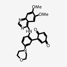 COc1cc2ncnc(Nc3ccc(N4CCOCC4)cc3C3=CC(=O)C=CC3=O)c2cc1OC